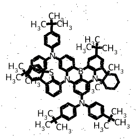 CC(C)(C)c1ccc(N(c2ccc(C(C)(C)C)cc2)c2ccc3c(c2)N(c2cccc4c2sc2ccccc24)c2cc(N(c4ccc(C(C)(C)C)cc4)c4ccc(C(C)(C)C)cc4)cc4c2B3c2cc(C(C)(C)C)cc3c2N4C2(C)CCCCC32C)cc1